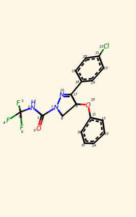 O=C(NC(F)(F)F)N1CC(Oc2ccccc2)C(c2ccc(Cl)cc2)=N1